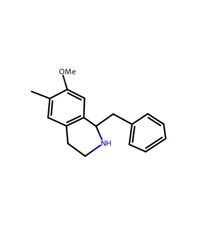 COc1cc2c(cc1C)CCNC2Cc1ccccc1